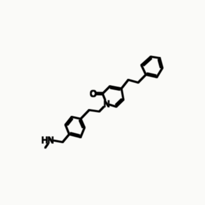 CNCc1ccc(CCn2ccc(CCc3ccccc3)cc2=O)cc1